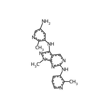 Cc1ncccc1Nc1ncc2c(Nc3cc(N)cnc3C)nn(C)c2n1